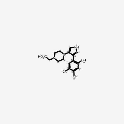 O=C(O)CN1CCN(c2c[nH]nc2-c2cc(Cl)c(O)cc2O)CC1